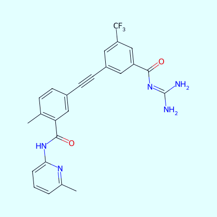 Cc1cccc(NC(=O)c2cc(C#Cc3cc(C(=O)N=C(N)N)cc(C(F)(F)F)c3)ccc2C)n1